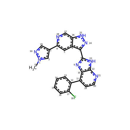 Cn1cc(-c2cc3c(-c4nc5c(-c6ccccc6F)ccnc5[nH]4)n[nH]c3cn2)cn1